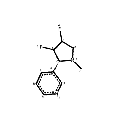 CN1CC(F)C(F)[C@H]1c1cccnc1